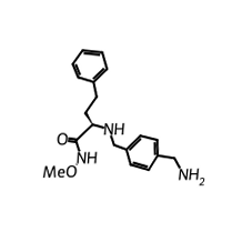 CONC(=O)[C@@H](CCc1ccccc1)NCc1ccc(CN)cc1